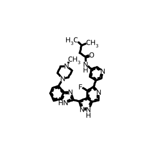 CC(C)CC(=O)Nc1cncc(-c2ncc3[nH]nc(-c4nc5c(N6CCN(C)CC6)cccc5[nH]4)c3c2F)c1